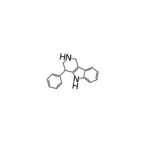 c1ccc(C2CNCc3c2[nH]c2ccccc32)cc1